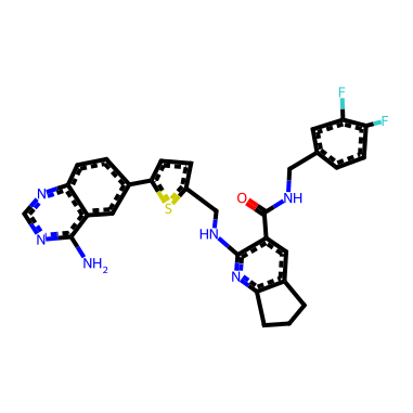 Nc1ncnc2ccc(-c3ccc(CNc4nc5c(cc4C(=O)NCc4ccc(F)c(F)c4)CCC5)s3)cc12